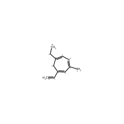 C=CC1=CC(N)=NC=C(CC)C1